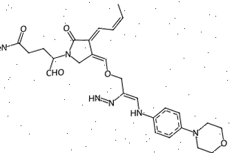 C\C=C/C=C1/C(=O)N(C(C=O)CCC(=O)NC)C/C1=C\OC/C(=C/Nc1ccc(N2CCOCC2)cc1)N=N